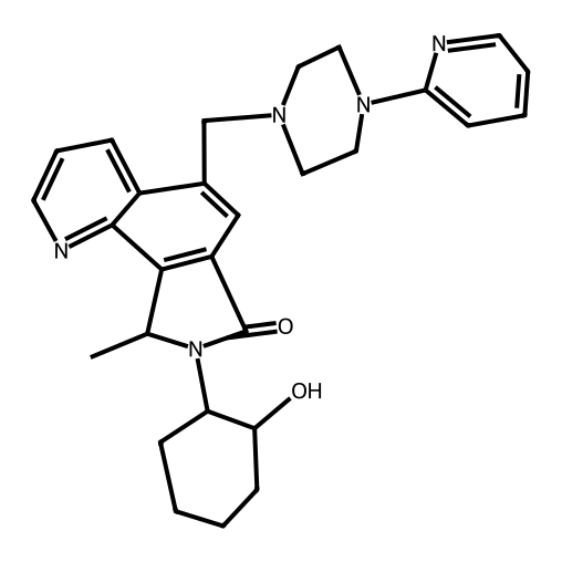 CC1c2c(cc(CN3CCN(c4ccccn4)CC3)c3cccnc23)C(=O)N1C1CCCCC1O